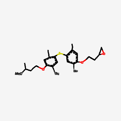 COC(C)CCOc1cc(C)c(Sc2cc(C(C)(C)C)c(OCCC3CO3)cc2C)cc1C(C)(C)C